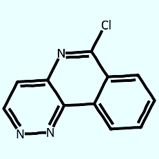 Clc1nc2ccnnc2c2ccccc12